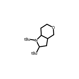 CC(C)(C)C1CC2COCCC2N1C(C)(C)C